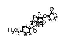 C=Cc1ccc(S(=O)(=O)NS(=O)(=O)C(F)(F)C(=O)OC2CCOC2=O)cc1